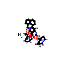 C#Cc1c(F)ccc2cccc(-c3nc4c5c(nc(OCC67CCCN6C[C@H]6C[C@H]67)nc5c3F)N3CC5CCC(C3C(C)O4)N5C(=O)O)c12